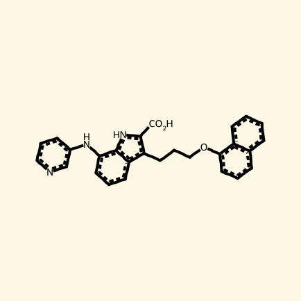 O=C(O)c1[nH]c2c(Nc3cccnc3)cccc2c1CCCOc1cccc2ccccc12